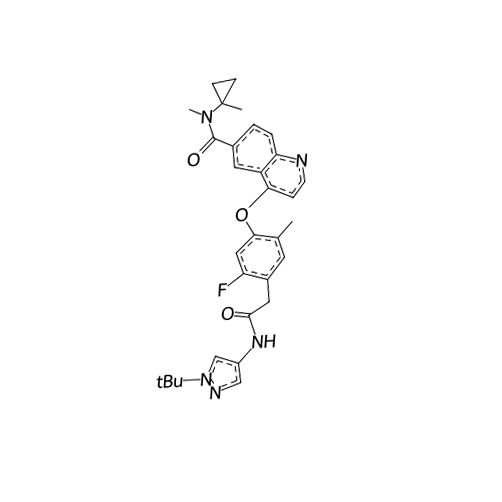 Cc1cc(CC(=O)Nc2cnn(C(C)(C)C)c2)c(F)cc1Oc1ccnc2ccc(C(=O)N(C)C3(C)CC3)cc12